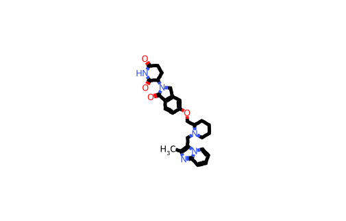 Cc1nc2ccccn2c1CN1CCCCC1COc1ccc2c(c1)CN(C1CCC(=O)NC1=O)C2=O